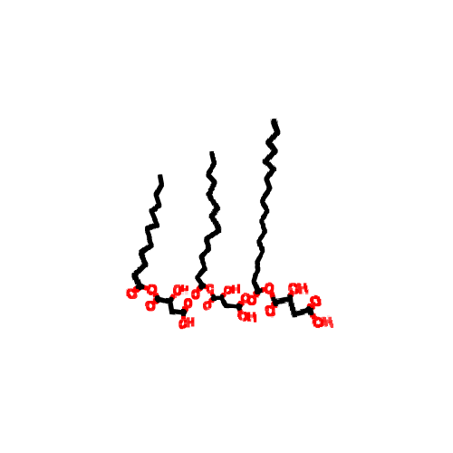 CCCCCCCCCCCC(=O)OC(=O)C(O)CC(=O)O.CCCCCCCCCCCCCC(=O)OC(=O)C(O)CC(=O)O.CCCCCCCCCCCCCCCCCC(=O)OC(=O)C(O)CC(=O)O